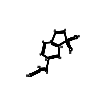 O=S1(=O)C=Cc2ccc(N=C=S)cc21